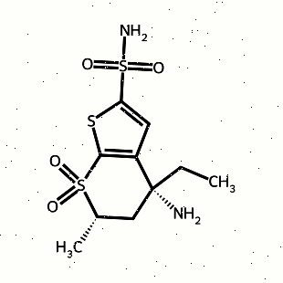 CC[C@@]1(N)C[C@H](C)S(=O)(=O)c2sc(S(N)(=O)=O)cc21